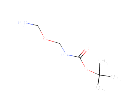 CC(C)(C)OC(=O)NCOCN